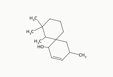 CC1C=CC(O)C2(CCCC(C)(C)C2C)C1